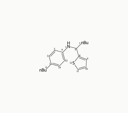 CCCCc1ccc(NC(CCCC)c2cccs2)cc1